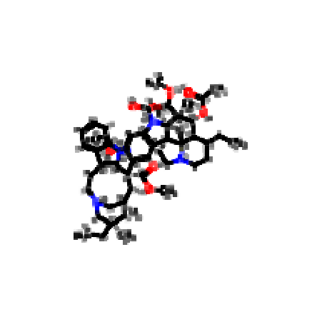 CCC1=CCN2CC[C@]34c5cc([C@@]6(C(=O)OC)C[C@@H]7C[N@](CCc8c6[nH]c6ccccc86)C[C@](C)(CC)C7)c(OC)cc5N(C=O)[C@H]3[C@@](C)(C(=O)OC)[C@H](OC(C)=O)C1[C@H]24